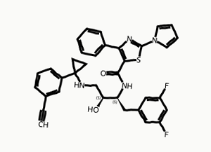 C#Cc1cccc(C2(NC[C@H](O)[C@H](Cc3cc(F)cc(F)c3)NC(=O)c3sc(-n4cccc4)nc3-c3ccccc3)CC2)c1